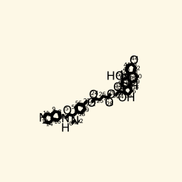 CN(C)C(C(=O)Nc1ccc2cnccc2c1)c1ccc(COC(=O)CCC(=O)OCC(=O)[C@@]2(O)CC[C@H]3[C@@H]4CCC5=CC(=O)C=C[C@]5(C)[C@H]4[C@@H](O)C[C@@]32C)cc1